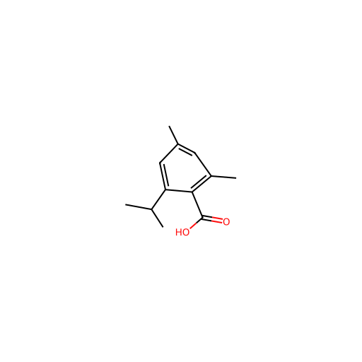 Cc1cc(C)c(C(=O)O)c(C(C)C)c1